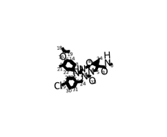 CNC(=O)C1(Cn2c(=O)[nH]/c(=N\c3ccc(OC(C)C)c(C)c3)n(Cc3ccc(Cl)cc3)c2=O)CC1